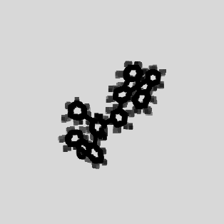 c1ccc(-c2cc(-c3cccc4oc5ccccc5c34)nc(-c3cccc(-c4ccc5c(c4)C4(c6ccccc6-c6ccccc64)c4ccccc4-5)c3)n2)cc1